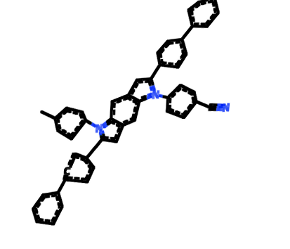 Cc1ccc(-n2c(-c3ccc(-c4ccccc4)cc3)cc3cc4c(cc(-c5ccc(-c6ccccc6)cc5)n4-c4ccc(C#N)cc4)cc32)cc1